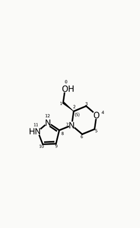 OC[C@H]1COCCN1c1cc[nH]n1